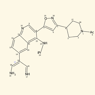 CC(=O)N1CCC(c2cc(-c3cnc4ccc(/C(C=N)=C/N)cc4c3NC(C)C)on2)CC1